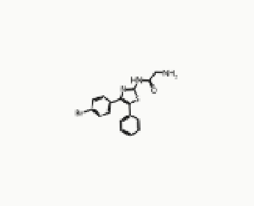 NCC(=O)Nc1nc(-c2ccc(Br)cc2)c(-c2ccccc2)s1